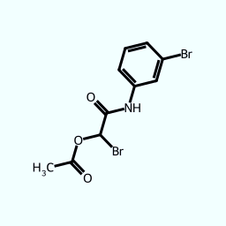 CC(=O)OC(Br)C(=O)Nc1cccc(Br)c1